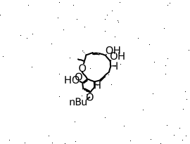 CCCCOC1=CC(O)=C2C(=O)OC(C)[C@H](C)/C=C\[C@H](O)[C@@H](O)[C@@H](I)C/C=C/[C@H]2C1